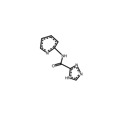 O=C(Nc1ccccn1)c1nnc[nH]1